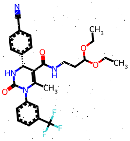 CCOC(CCNC(=O)C1=C(C)N(c2cccc(C(F)(F)F)c2)C(=O)N[C@@H]1c1ccc(C#N)cc1)OCC